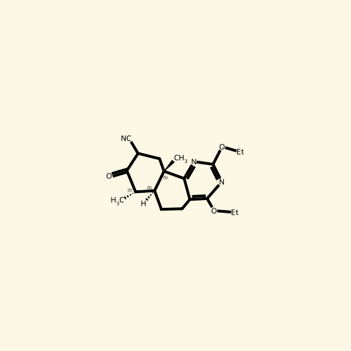 CCOc1nc(OCC)c2c(n1)[C@@]1(C)CC(C#N)C(=O)[C@@H](C)[C@@H]1CC2